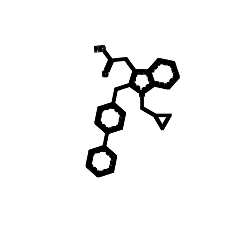 O=C(O)Cc1c(Cc2ccc(-c3ccccc3)cc2)n(CC2CC2)c2ccccc12